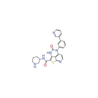 O=C(NC1CCCNC1)c1sc2nccc3c2c1NC(=O)N3c1cccc(-c2cccnc2)c1